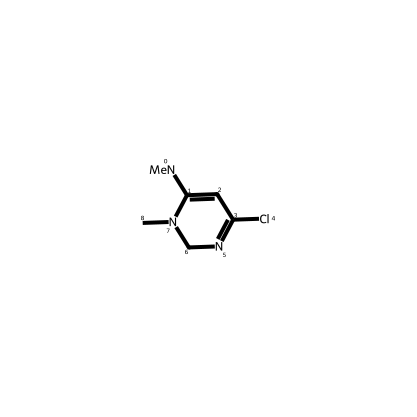 CNC1=CC(Cl)=NCN1C